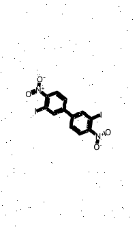 O=[N+]([O-])c1ccc(-c2ccc([N+](=O)[O-])c(I)c2)cc1I